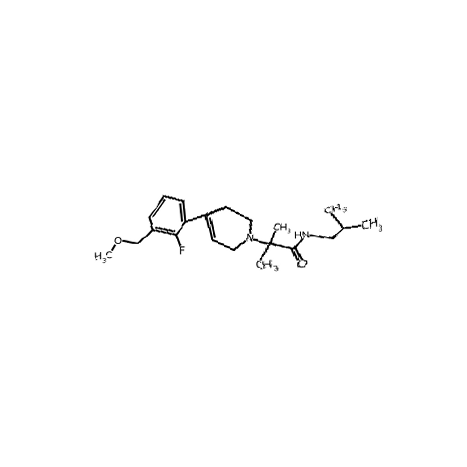 COCc1cccc(C2=CCN(C(C)(C)C(=O)NCC(C)C)CC2)c1F